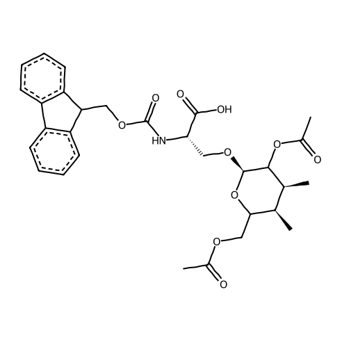 CC(=O)OCC1O[C@@H](OC[C@H](NC(=O)OCC2c3ccccc3-c3ccccc32)C(=O)O)C(OC(C)=O)[C@@H](C)[C@H]1C